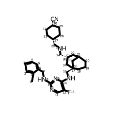 Cc1ccccc1CNc1ncc(F)c(NC[C@@]23CCCC(C[C@@H](CNC[C@H]4CC[C@@H](C#N)CC4)C2)C3)n1